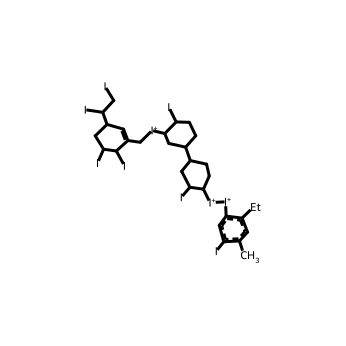 CCc1cc(C)c(I)cc1[I+][I+]C1CCC(C2CCC(I)C([I+]CC3=CC(C(I)CI)CC(I)C3I)C2)CC1I